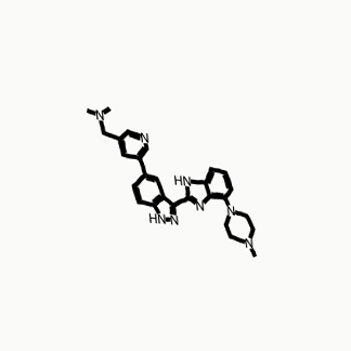 CN(C)Cc1cncc(-c2ccc3[nH]nc(-c4nc5c(N6CCN(C)CC6)cccc5[nH]4)c3c2)c1